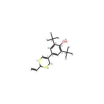 C=CC1SC=C(c2cc(C(C)(C)C)c(O)c(C(C)(C)C)c2)CS1